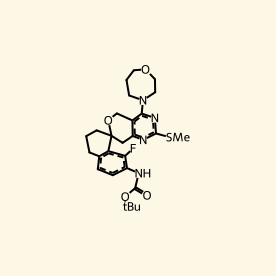 CSc1nc2c(c(N3CCCOCC3)n1)COC1(CCCc3ccc(NC(=O)OC(C)(C)C)c(F)c31)C2